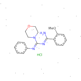 COc1ccccc1/C(N)=N/C(=N/c1ccccc1)N1CCOCC1.Cl